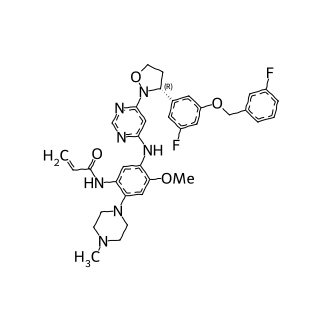 C=CC(=O)Nc1cc(Nc2cc(N3OCC[C@@H]3c3cc(F)cc(OCc4cccc(F)c4)c3)ncn2)c(OC)cc1N1CCN(C)CC1